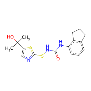 CC(C)(O)c1cnc(SNC(=O)Nc2cccc3c2CCC3)s1